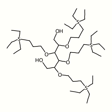 CCS(CC)(CC)CCCOC(CO)C(OCCCS(CC)(CC)CC)C(OCCCS(CC)(CC)CC)C(CO)OCCCS(CC)(CC)CC